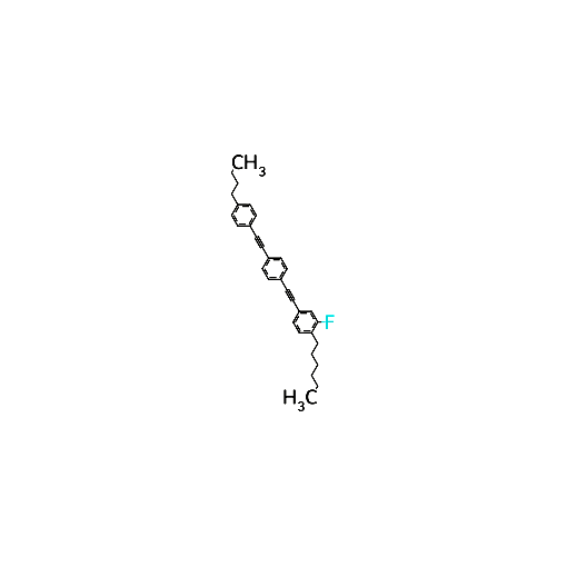 CCCCCCc1ccc(C#Cc2ccc(C#Cc3ccc(CCCC)cc3)cc2)cc1F